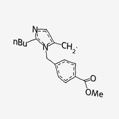 [CH2]c1cnc(CCCC)n1Cc1ccc(C(=O)OC)cc1